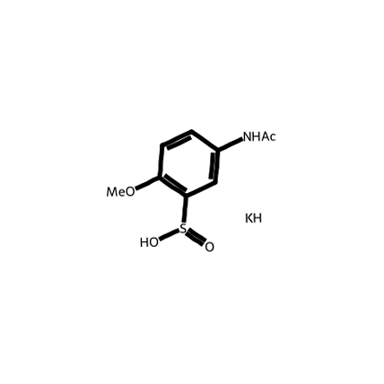 COc1ccc(NC(C)=O)cc1S(=O)O.[KH]